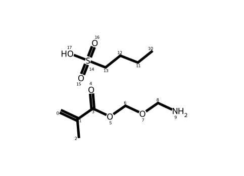 C=C(C)C(=O)OCOCN.CCCCS(=O)(=O)O